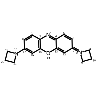 c1cc2nc3ccc(=[N+]4CCC4)cc-3oc2cc1N1CCC1